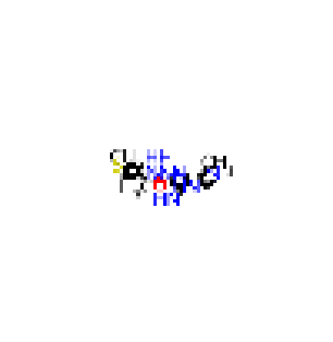 CSc1ccc(C(C)NC(=O)Nc2cc(C=N)c(Nc3ccnc(C)c3)cn2)cc1